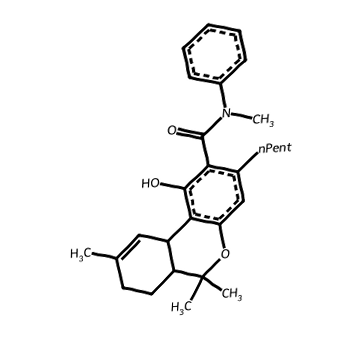 CCCCCc1cc2c(c(O)c1C(=O)N(C)c1ccccc1)C1C=C(C)CCC1C(C)(C)O2